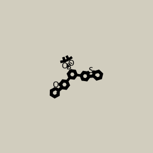 CC1(C)OB(c2cc(-c3ccc4c(c3)oc3ccccc34)cc(-c3ccc4c(c3)sc3ccccc34)c2)OC1(C)C